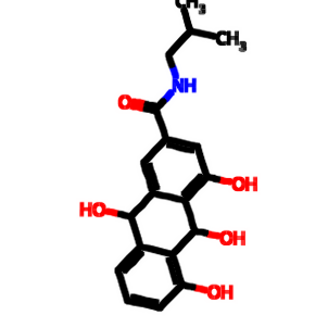 CC(C)CNC(=O)c1cc(O)c2c(c1)C(O)c1cccc(O)c1C2O